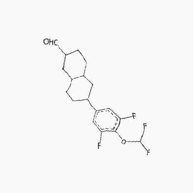 O=CC1CCC2CC(c3cc(F)c(OC(F)F)c(F)c3)CCC2C1